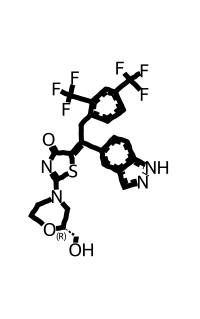 O=C1N=C(N2CCO[C@@H](CO)C2)SC1=C(Cc1ccc(C(F)(F)F)cc1C(F)(F)F)c1ccc2[nH]ncc2c1